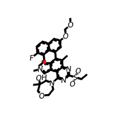 CCc1c(F)ccc2cc(OCOC)cc(-c3c(C)c4nc(S(=O)(=O)CC)nc(N5CCOCC(C)(O)C5)c4c4cn(C)nc34)c12